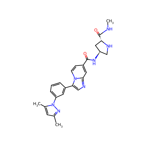 CNC(=O)[C@H]1C[C@H](NC(=O)c2ccn3c(-c4cccc(-n5nc(C)cc5C)c4)cnc3c2)CN1